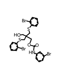 O=C(Nc1cccc(Br)c1)OCC(CO)(CSc1ccccc1Br)CSc1ccccc1Br